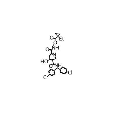 CCC1(C(=O)OCNC(=O)c2cc(O)c(C(=O)NC(c3ccc(Cl)cc3)c3ccc(Cl)cc3)cn2)CC1